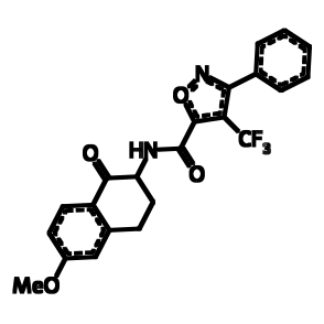 COc1ccc2c(c1)CCC(NC(=O)c1onc(-c3ccccc3)c1C(F)(F)F)C2=O